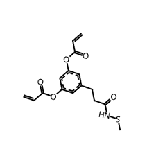 C=CC(=O)Oc1cc(CCC(=O)NSC)cc(OC(=O)C=C)c1